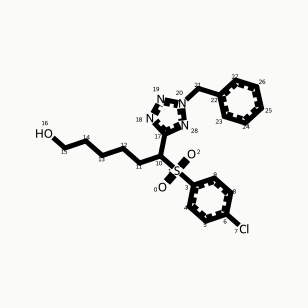 O=S(=O)(c1ccc(Cl)cc1)C(CCCCCO)c1nnn(Cc2ccccc2)n1